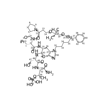 CC(C)C[C@H](NC(=O)[C@@H]1CCCN1C(=O)CCOC(C)(C)COC(C)(C)C)C(=O)N[C@@H](Cc1cncn1CCCCCc1ccccc1)C(=O)N[C@@H](CO)C(=O)N[C@H](C(N)=O)[C@@H](C)OP(=O)(O)O